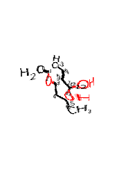 C=COCCCC.CCCC(O)O